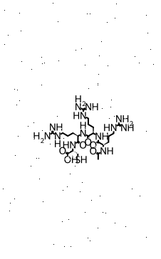 CC(=O)N[C@H](CCCNC(=N)N)C(=O)N[C@H](CCCNC(=N)N)C(=O)N[C@H](CCCNC(=N)N)C(=O)N[C@H](CS)C(=O)O